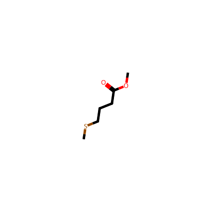 COC(=O)CCCSC